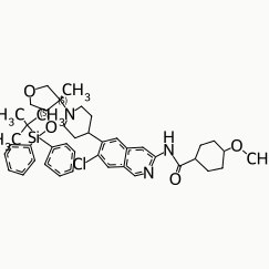 COC1CCC(C(=O)Nc2cc3cc(C4CCN([C@@]5(C)COC[C@H]5O[Si](c5ccccc5)(c5ccccc5)C(C)(C)C)CC4)c(Cl)cc3cn2)CC1